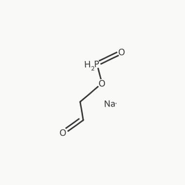 O=CCO[PH2]=O.[Na]